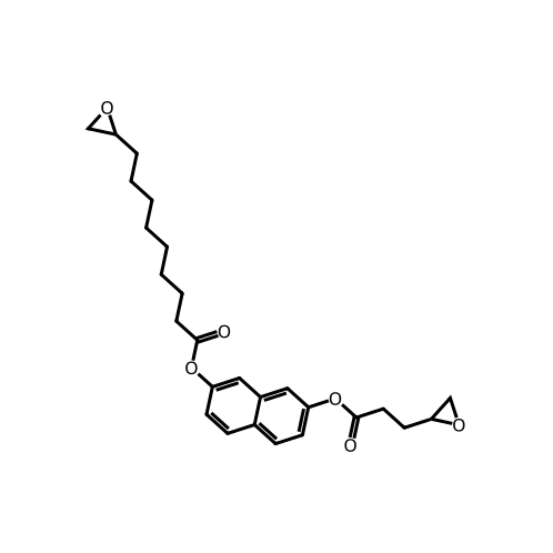 O=C(CCCCCCCCC1CO1)Oc1ccc2ccc(OC(=O)CCC3CO3)cc2c1